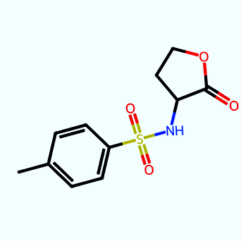 Cc1ccc(S(=O)(=O)NC2CCOC2=O)cc1